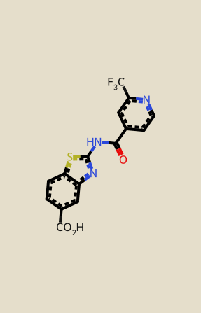 O=C(O)c1ccc2sc(NC(=O)c3ccnc(C(F)(F)F)c3)nc2c1